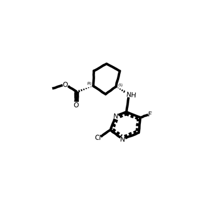 COC(=O)[C@@H]1CCC[C@H](Nc2nc(Cl)ncc2F)C1